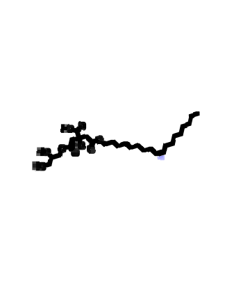 CCCCCCCC/C=C\CCCCCCCCOC(=O)CC(O)(CC(=O)OCC(O)CO)C(=O)O